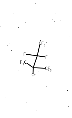 [O]C(C(F)(F)F)(C(F)(F)F)C(F)(F)C(F)(F)F